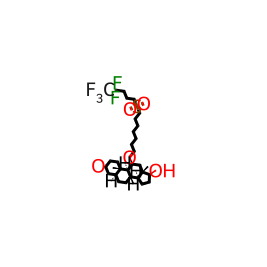 C[C@]12CCC(=O)C[C@@H]1CC[C@@H]1[C@@H]2[C@@H](OCCCCCCCS(=O)(=O)CCCC(F)(F)C(F)(F)F)C[C@]2(C)[C@@H](O)CC[C@@H]12